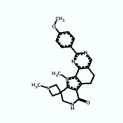 COc1ccc(-c2ncc3c(n2)-c2c(c4c(n2C)C2(CNC4=O)CN(C)C2)CC3)cc1